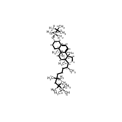 C[C@@H](CCCC(C)(C)CC(C)(C)[Si](C)(C)O)[C@H]1CC[C@H]2C3=CC=C4C[C@@H](O[Si](C)(C)C(C)(C)C)CC[C@]4(C)[C@H]3CC[C@]12C